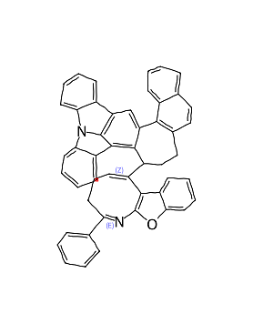 C1=C(/C2CCc3ccc4ccccc4c3-c3cc4c5ccccc5n5c6ccccc6c(c32)c45)c2c(oc3ccccc23)/N=C(/c2ccccc2)CC/1